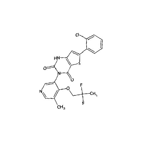 Cc1cncc(-n2c(=O)[nH]c3cc(-c4ccccc4Cl)sc3c2=O)c1OCC(C)(F)F